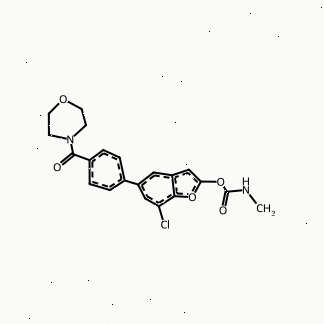 CNC(=O)Oc1cc2cc(-c3ccc(C(=O)N4CCOCC4)cc3)cc(Cl)c2o1